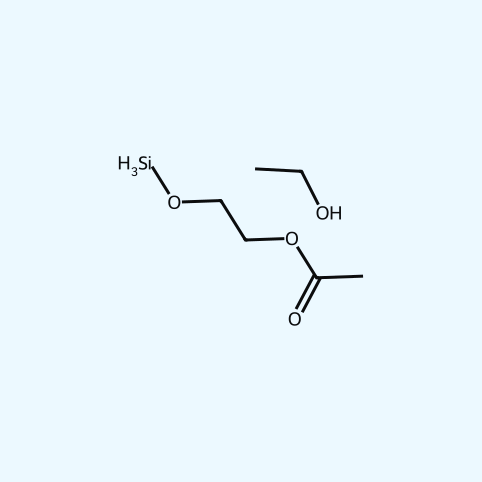 CC(=O)OCCO[SiH3].CCO